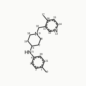 Cc1ccc(NC2CCN(Cc3cnccc3C)CC2)cc1